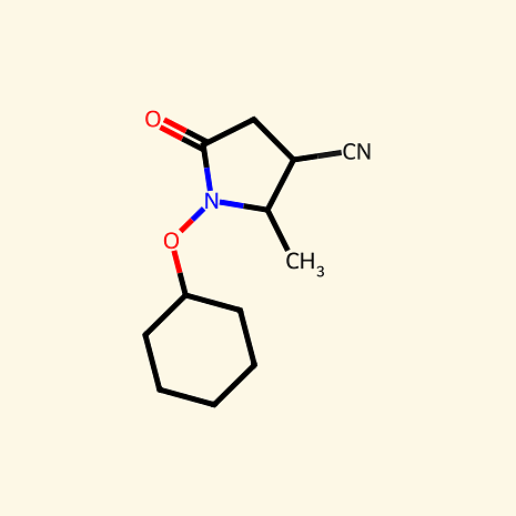 CC1C(C#N)CC(=O)N1OC1CCCCC1